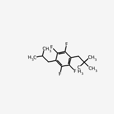 CC(C)Cc1c(F)c(F)c(CC(C)(C)C)c(F)c1F